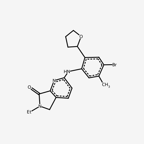 CCN1Cc2ccc(Nc3cc(C)c(Br)cc3C3CCCO3)nc2C1=O